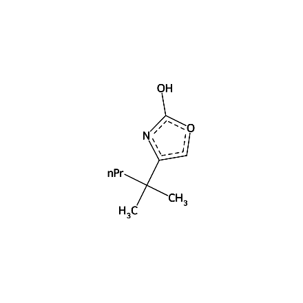 CCCC(C)(C)c1coc(O)n1